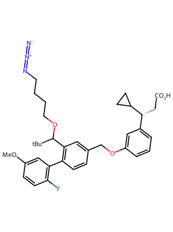 COc1ccc(F)c(-c2ccc(COc3cccc([C@@H](CC(=O)O)C4CC4)c3)cc2C(OCCCCN=[N+]=[N-])C(C)(C)C)c1